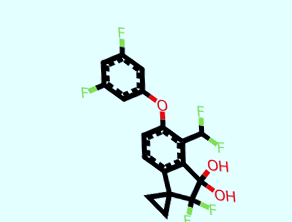 OC1(O)c2c(ccc(Oc3cc(F)cc(F)c3)c2C(F)F)C2(CC2)C1(F)F